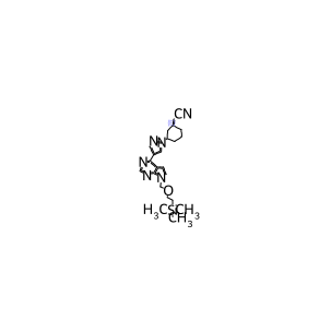 C[Si](C)(C)CCOCn1ccc2c(-c3cnn(C4CCC/C(=C\C#N)C4)c3)ncnc21